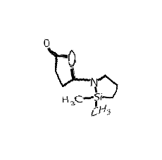 C[Si]1(C)CCCN1C1CCC(=O)O1